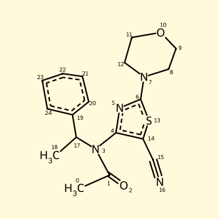 CC(=O)N(c1nc(N2CCOCC2)sc1C#N)C(C)c1ccccc1